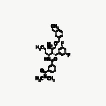 CCCC(NC(=O)c1cccc(C(=O)N(C)C)c1)[C@@H](Cc1cc(F)cc(F)c1)C(N)COCc1cccc(CC)c1